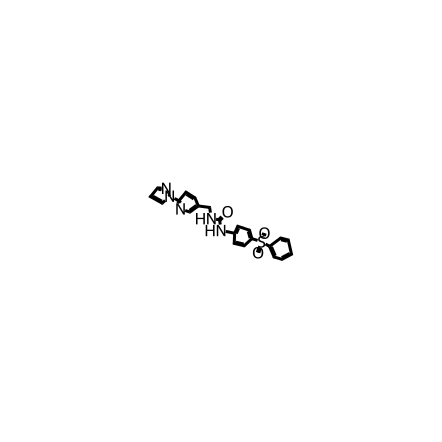 O=C(NCc1ccc(-n2cccn2)nc1)Nc1ccc(S(=O)(=O)c2ccccc2)cc1